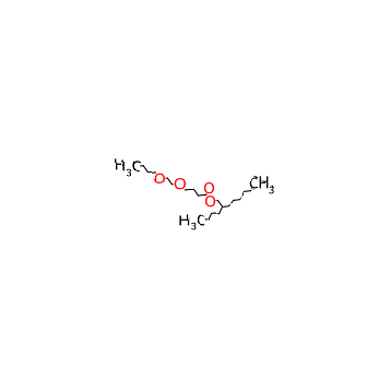 CCCCCCC(CCCC)COC(=O)CCCOCCOCCCC